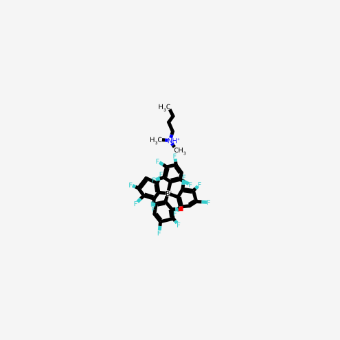 CCCC[NH+](C)C.Fc1cc(F)c([B-](c2c(F)cc(F)c(F)c2F)(c2c(F)cc(F)c(F)c2F)c2c(F)cc(F)c(F)c2F)c(F)c1F